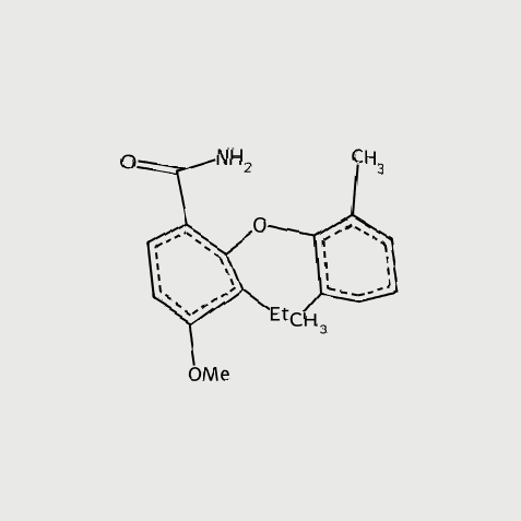 CCc1c(OC)ccc(C(N)=O)c1Oc1c(C)cccc1C